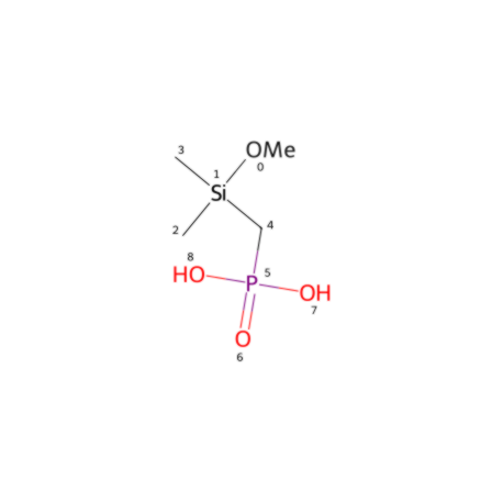 CO[Si](C)(C)CP(=O)(O)O